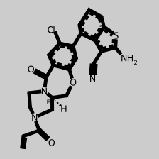 C=CC(=O)N1CCN2C(=O)c3cc(Cl)c(-c4cccc5sc(N)c(C#N)c45)cc3OC[C@H]2C1